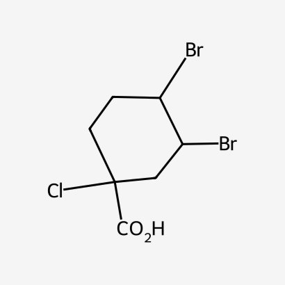 O=C(O)C1(Cl)CCC(Br)C(Br)C1